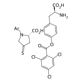 CC(=O)N1CC(=S)C[C@H]1C(=O)O.N[C@@H](Cc1ccc(OC(=O)c2c(Cl)cc(Cl)cc2Cl)cc1)C(=O)O